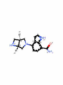 NC(=O)c1ccc(N2C[C@@H]3CN[C@H]3C2)c2cc[nH]c12